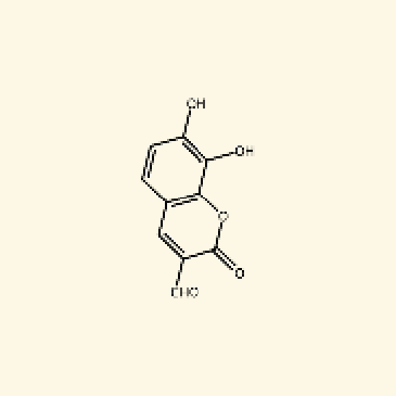 O=Cc1cc2ccc(O)c(O)c2oc1=O